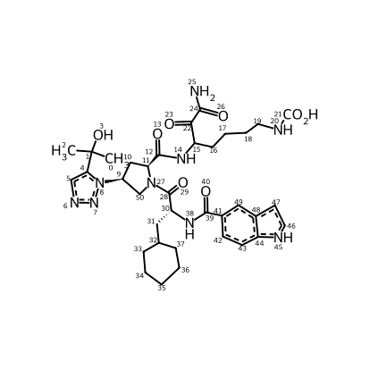 CC(C)(O)c1cnnn1[C@H]1C[C@@H](C(=O)NC(CCCCNC(=O)O)C(=O)C(N)=O)N(C(=O)[C@@H](CC2CCCCC2)NC(=O)c2ccc3[nH]ccc3c2)C1